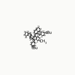 Cc1cc2c3c(c1)N(c1ccc(C(C)(C)C)cc1)c1c(ccc4ccccc14)B3c1c(sc3c1sc1ccccc13)N2c1ccc(C(C)(C)C)cc1